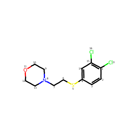 Clc1ccc(SCCN2CCOCC2)cc1Cl